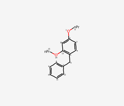 CCCOc1ccc(Cc2ccccc2)c(OCCC)c1